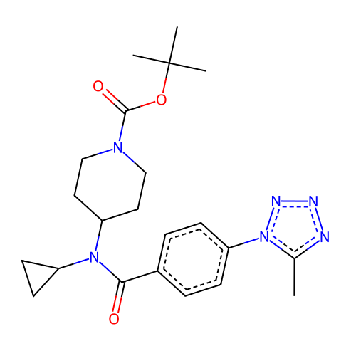 Cc1nnnn1-c1ccc(C(=O)N(C2CC2)C2CCN(C(=O)OC(C)(C)C)CC2)cc1